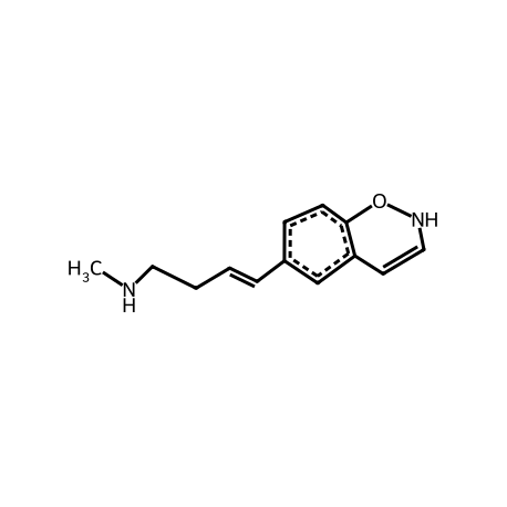 CNCC/C=C/c1ccc2c(c1)C=CNO2